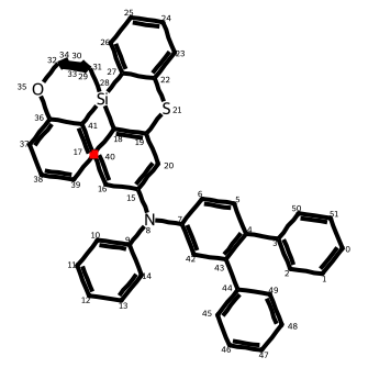 c1ccc(-c2ccc(N(c3ccccc3)c3ccc4c(c3)Sc3ccccc3[Si]43c4ccccc4Oc4ccccc43)cc2-c2ccccc2)cc1